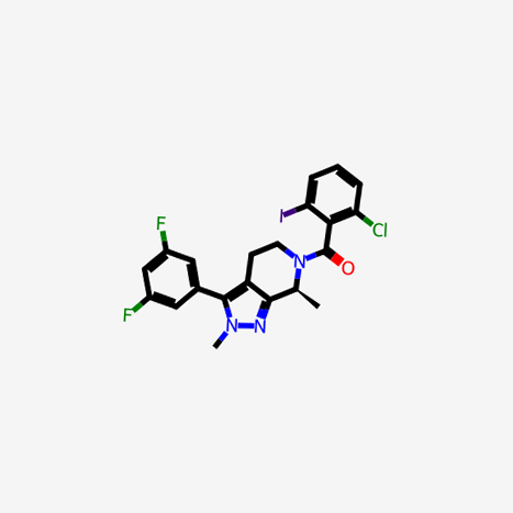 C[C@H]1c2nn(C)c(-c3cc(F)cc(F)c3)c2CCN1C(=O)c1c(Cl)cccc1I